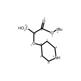 CC(C)(C)OC(=O)C(OC1CCNCC1)C(=O)O